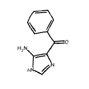 Nc1[nH]cnc1C(=O)c1ccccc1